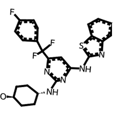 O[C@H]1CC[C@H](Nc2nc(Nc3nc4ccccc4s3)cc(C(F)(F)c3ccc(F)cc3)n2)CC1